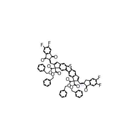 O=C1/C(=C/C2=Cc3cc4sc5cc6c(cc5c4cc3C2(C(=O)OCc2ccccc2)C(=O)OCc2ccccc2)C(C(=O)OCc2ccccc2)(C(=O)OCc2ccccc2)C(C=C2C(=O)c3cc(F)c(F)cc3C2=O)=C6)Cc2cc(F)c(F)cc21